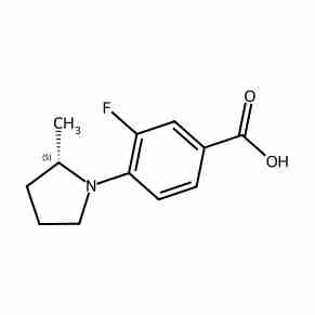 C[C@H]1CCCN1c1ccc(C(=O)O)cc1F